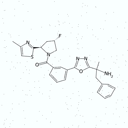 Cc1csc([C@H]2C[C@H](F)CN2C(=O)c2cccc(-c3nnc(C(C)(N)Cc4ccccc4)o3)c2)n1